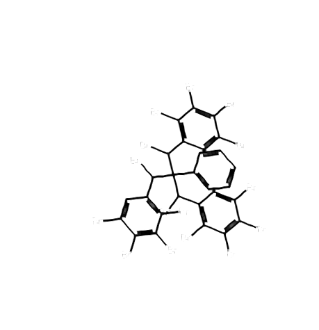 Brc1cc(C(Br)C(c2ccccc2)(C(Br)c2cc(Br)c(Br)c(Br)c2Br)C(Br)c2cc(Br)c(Br)c(Br)c2Br)c(Br)c(Br)c1Br